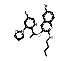 CCCCNc1nc2ccc(Br)cc2cc1OC(C)c1ncc(F)cc1-n1cccn1